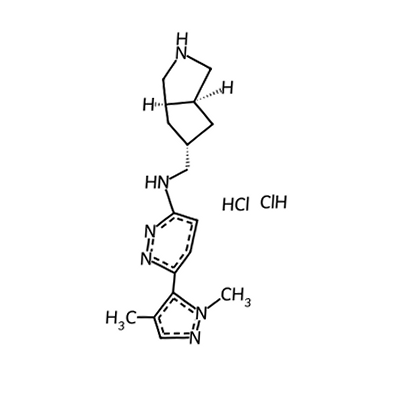 Cc1cnn(C)c1-c1ccc(NC[C@@H]2C[C@H]3CNC[C@H]3C2)nn1.Cl.Cl